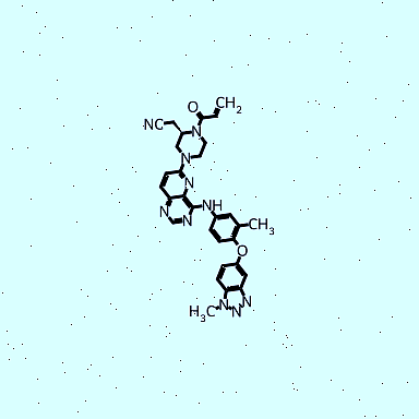 C=CC(=O)N1CCN(c2ccc3ncnc(Nc4ccc(Oc5ccc6c(c5)nnn6C)c(C)c4)c3n2)C[C@H]1CC#N